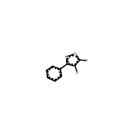 Fc1onc(-c2ccccc2)c1F